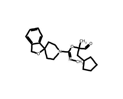 C/N=C(\OC(C)(C=O)CC1CCCC1)N1CCC2(CC1)OCc1ccccc12